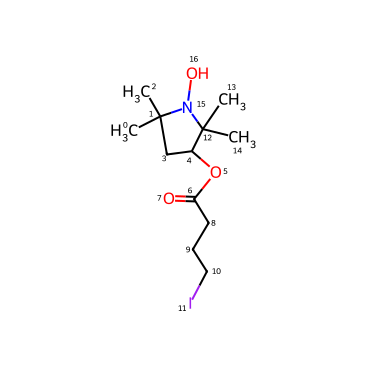 CC1(C)CC(OC(=O)CCCI)C(C)(C)N1O